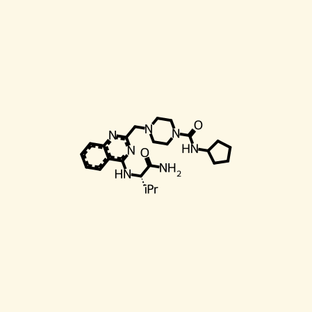 CC(C)[C@H](Nc1nc(CN2CCN(C(=O)NC3CCCC3)CC2)nc2ccccc12)C(N)=O